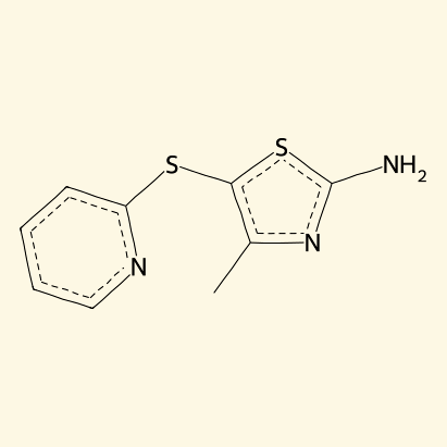 Cc1nc(N)sc1Sc1ccccn1